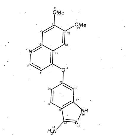 COc1cc2nccc(Oc3ccc4c(N)n[nH]c4c3)c2cc1OC